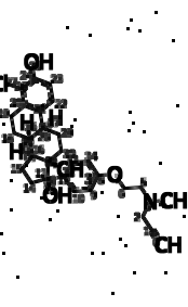 C#CCN(C)CCOc1ccc([C@]2(O)CC[C@H]3[C@@H]4CCc5c(ccc(O)c5Cl)[C@H]4CC[C@@]32C)cc1